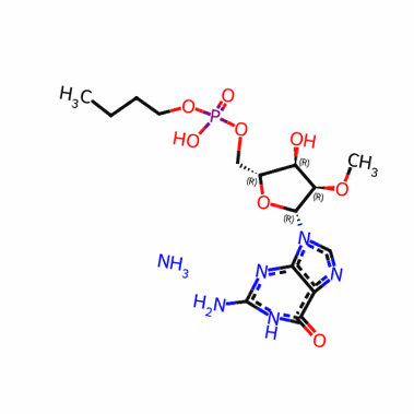 CCCCOP(=O)(O)OC[C@H]1O[C@@H](n2cnc3c(=O)[nH]c(N)nc32)[C@H](OC)[C@@H]1O.N